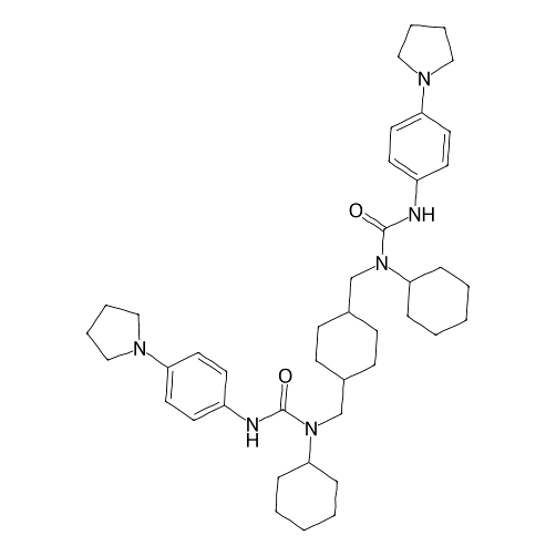 O=C(Nc1ccc(N2CCCC2)cc1)N(CC1CCC(CN(C(=O)Nc2ccc(N3CCCC3)cc2)C2CCCCC2)CC1)C1CCCCC1